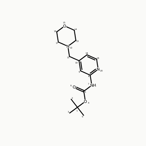 CC(C)(C)OC(=O)Nc1cc(CN2CCOCC2)ccn1